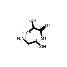 CC(O)C(=O)S.NCCO